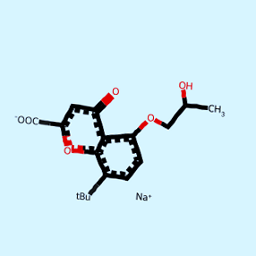 CC(O)COc1ccc(C(C)(C)C)c2oc(C(=O)[O-])cc(=O)c12.[Na+]